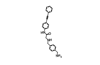 NCc1ccc(CNCC(=O)Nc2ccc(C#Cc3ccccc3)cc2)cc1